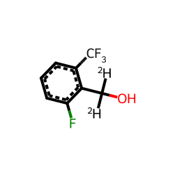 [2H]C([2H])(O)c1c(F)cccc1C(F)(F)F